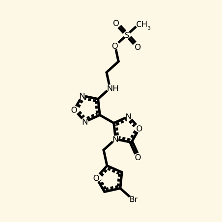 CS(=O)(=O)OCCNc1nonc1-c1noc(=O)n1Cc1cc(Br)co1